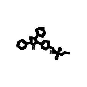 CCCS(=O)(=O)NCc1ccc(-c2[nH]c(-c3ccccc3)nc2-c2ccncc2)cc1